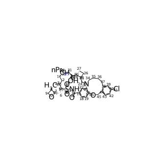 C=CC[C@@H](C)[C@@H](C[C@H]1CCO1)S(=O)(=O)NC(=O)c1ccc2c(c1)N(C[C@@H]1CC[C@H]1[C@@H](O)/C=C/CCC)CCCCc1cc(Cl)ccc1CO2